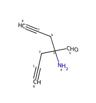 C#CCC(N)(C=O)CC#C